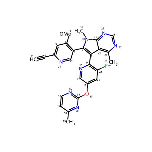 C#Cc1cc(OC)c(-c2c(-c3ncc(Oc4nccc(C)n4)cc3F)c3c(C)ncnc3n2C)cn1